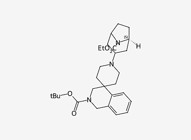 CCOC(=O)N1C2CC[C@H]1CC(N1CCC3(CC1)CN(C(=O)OC(C)(C)C)Cc1ccccc13)C2